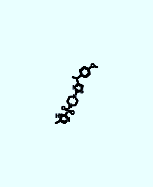 COc1ccc(C(C)c2csc(N3CCN(S(=O)(=O)c4ncc(C)[nH]4)CC3)n2)cc1